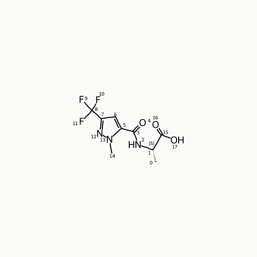 C[C@H](NC(=O)c1cc(C(F)(F)F)nn1C)C(=O)O